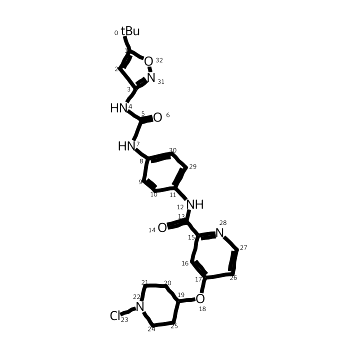 CC(C)(C)c1cc(NC(=O)Nc2ccc(NC(=O)c3cc(OC4CCN(Cl)CC4)ccn3)cc2)no1